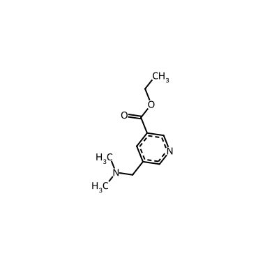 CCOC(=O)c1cncc(CN(C)C)c1